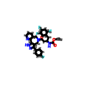 CC(C)(C)OC(=O)NC(CC(=O)N1Cc2cccnc2-c2[nH]nc(-c3ccc(F)cc3)c2C1)Cc1cc(F)c(F)cc1F